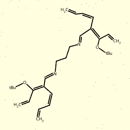 C=C\C=C/C(/C=N/CCC/N=C/C(/C=C\C=C)=C(/C=C)OC(C)(C)C)=C(\C=C)OC(C)(C)C